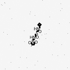 C[C@H]1CC(=O)N(CCNC(=O)CSCC(=O)NCC2CCC2)C1=O